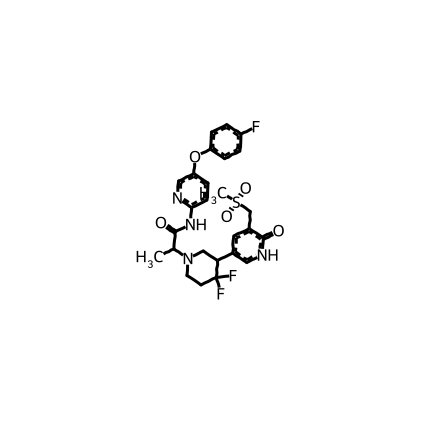 CC(C(=O)Nc1ccc(Oc2ccc(F)cc2)cn1)N1CCC(F)(F)C(c2c[nH]c(=O)c(CS(C)(=O)=O)c2)C1